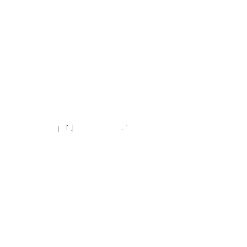 CCCc1ccccc1O[C@H](CN)c1ccccc1